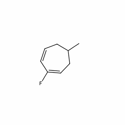 CC1CC=CC(F)=CC1